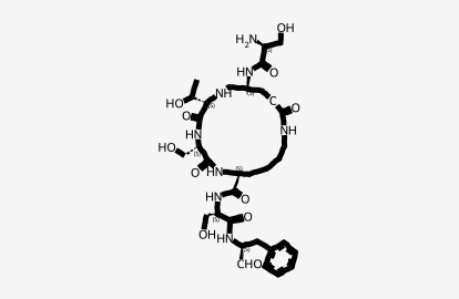 CC(O)[C@@H]1NC[C@@H](NC(=O)[C@@H](N)CO)CCC(=O)NCCCC[C@@H](C(=O)N[C@@H](CO)C(=O)N[C@H](C=O)Cc2ccccc2)NC(=O)[C@H](CO)NC1=O